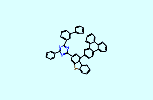 c1ccc(-c2cccc(-c3nc(-c4ccccc4)nc(-c4cc(-c5ccc6c7ccccc7c7ccccc7c6c5)c5c(c4)sc4ccccc45)n3)c2)cc1